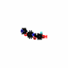 O=C(CN1C[C@H]2C[C@H](Oc3cccnc3)C[C@H]2C1)c1ccc(O)c(F)c1